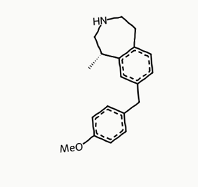 COc1ccc(Cc2ccc3c(c2)[C@H](C)CNCC3)cc1